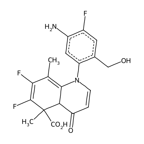 CC1=C2C(C(=O)C=CN2c2cc(N)c(F)cc2CO)C(C)(C(=O)O)C(F)=C1F